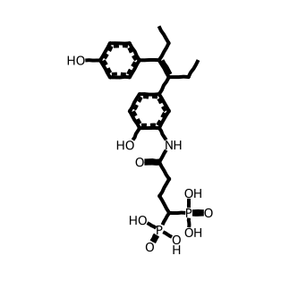 CCC(=C(CC)c1ccc(O)c(NC(=O)CCC(P(=O)(O)O)P(=O)(O)O)c1)c1ccc(O)cc1